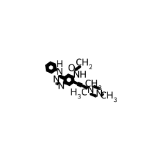 C=CC(=O)Nc1cc2c(Nc3ccccc3)ncnc2cc1C#CC(C)(C)N1CCN(C)CC1